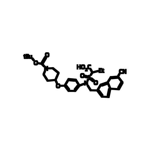 CCC(C(=O)O)S(=O)(=O)N(Cc1ccc2ccc(C#N)cc2c1)c1ccc(OC2CCN(C(=O)OC(C)(C)C)CC2)cc1